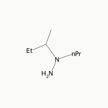 CCCN(N)C(C)CC